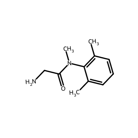 Cc1cccc(C)c1N(C)C(=O)CN